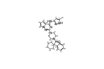 Cc1cc(Nc2nc(N3CCN(C(=O)C4(c5ccccc5)CCCCC4)CC3)nn3cccc23)n[nH]1